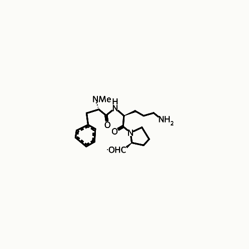 CN[C@@H](Cc1ccccc1)C(=O)N[C@@H](CCCN)C(=O)N1CCC[C@H]1[C]=O